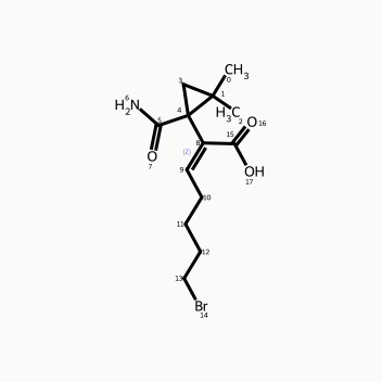 CC1(C)CC1(C(N)=O)/C(=C/CCCCBr)C(=O)O